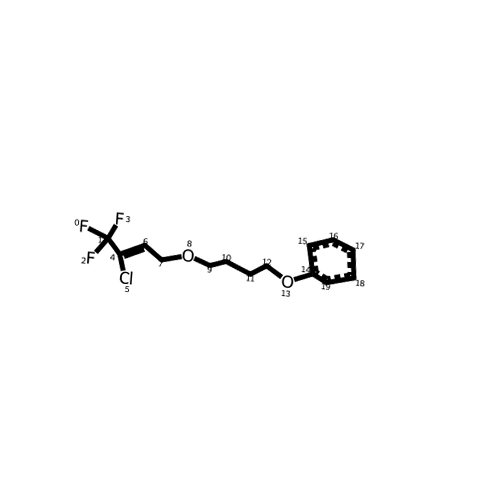 FC(F)(F)/C(Cl)=C/COCCCCOc1ccccc1